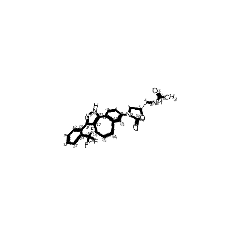 CC(=O)NC[C@H]1CN(c2ccc3c(c2)CCCc2c(-c4ccccc4C(F)(F)F)n[nH]c2-3)C(=O)O1